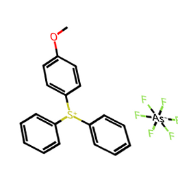 COc1ccc([S+](c2ccccc2)c2ccccc2)cc1.F[As-](F)(F)(F)(F)F